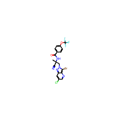 CC(C#N)(Cn1nc2cc(Cl)cnc2c1Br)NC(=O)c1ccc(OC(F)(F)F)cc1